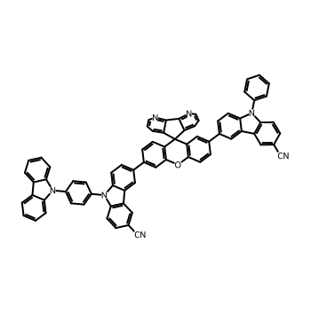 N#Cc1ccc2c(c1)c1cc(-c3ccc4c(c3)Oc3ccc(-c5ccc6c(c5)c5cc(C#N)ccc5n6-c5ccccc5)cc3C43c4cccnc4-c4ncccc43)ccc1n2-c1ccc(-n2c3ccccc3c3ccccc32)cc1